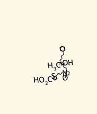 C[C@@H](CCCCc1ccccc1)[C@H](O)CCC1CCC(=O)N1CC=Cc1ccc(C(=O)O)s1